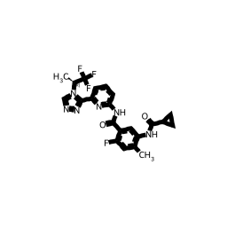 Cc1cc(F)c(C(=O)Nc2cccc(-c3nncn3[C@H](C)C(F)(F)F)n2)cc1NC(=O)C1CC1